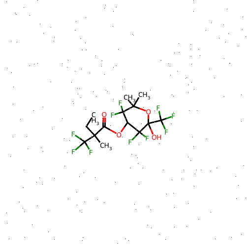 CCC(C)(C(=O)OC1C(F)(F)C(C)(C)OC(O)(C(F)(F)F)C1(F)F)C(F)(F)F